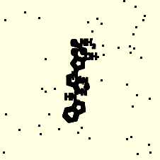 NS(=O)(=O)OC1CC(n2ccc3c(N[C@H]4CCc5ccccc54)ncnc32)CC1O